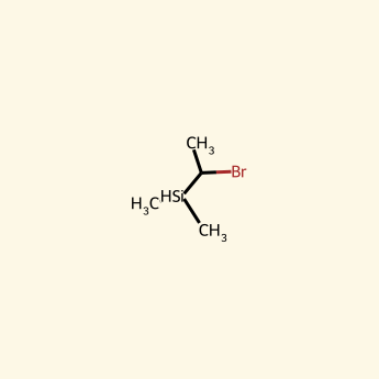 CC(Br)[SiH](C)C